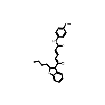 CCCCc1oc2ccccc2c1/C(Cl)=C/C=C/C(=O)Nc1ccc(OC)cc1